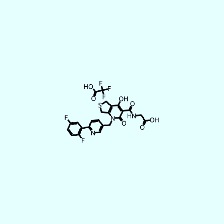 O=C(O)C(F)(F)F.O=C(O)CNC(=O)c1c(O)c2c(n(Cc3ccc(-c4cc(F)ccc4F)nc3)c1=O)CSC2